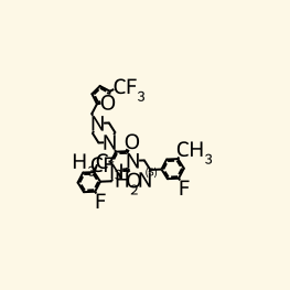 Cc1cc(F)cc([C@H](N)Cn2c(=O)c(N3CCN(Cc4ccc(C(F)(F)F)o4)CC3)c(C)n(Cc3c(F)cccc3C(F)(F)F)c2=O)c1